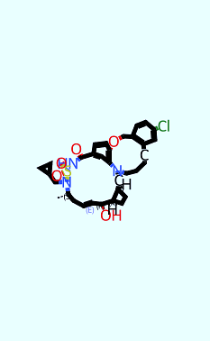 C[C@H]1C/C=C/[C@H](O)[C@@H]2CC[C@H]2CN2CCCCc3cc(Cl)ccc3COc3ccc(cc32)C(=O)NS(=O)(=O)N1CC1CC1